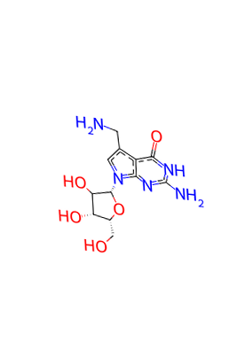 NCc1cn([C@@H]2O[C@H](CO)[C@H](O)C2O)c2nc(N)[nH]c(=O)c12